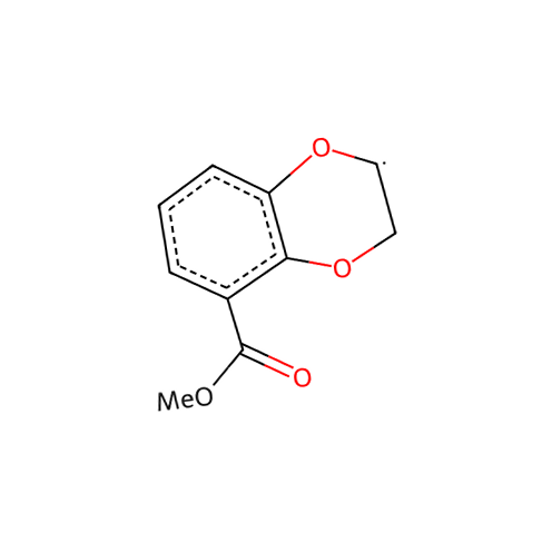 COC(=O)c1cccc2c1OC[CH]O2